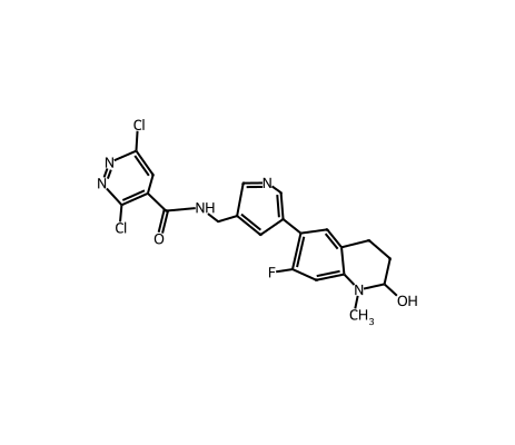 CN1c2cc(F)c(-c3cncc(CNC(=O)c4cc(Cl)nnc4Cl)c3)cc2CCC1O